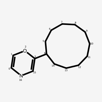 C1=COC(C2CCCCCCCCCC2)=C[N]1